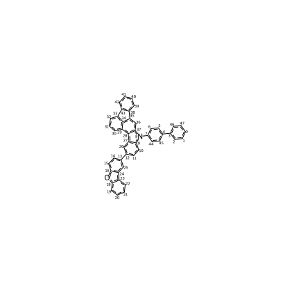 c1ccc(-c2ccc(-n3c4ccc(-c5ccc6oc7ccccc7c6c5)cc4c4c5cccc6c5c(cc43)-c3ccccc3-6)cc2)cc1